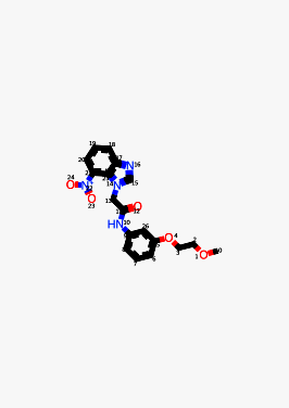 COCCOc1cccc(NC(=O)Cn2cnc3cccc([N+](=O)[O-])c32)c1